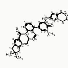 Cn1cc(-c2ccnc(N3CCn4c(cc5c4CC(C)(C)C5)C3=O)c2C=O)cc(Nc2cc3n(n2)CCOC3)c1=O